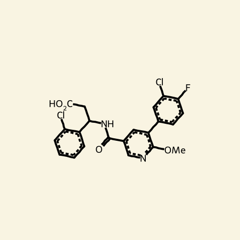 COc1ncc(C(=O)NC(CC(=O)O)c2ccccc2Cl)cc1-c1ccc(F)c(Cl)c1